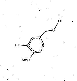 CCOCc1ccc(OC)c(O)c1